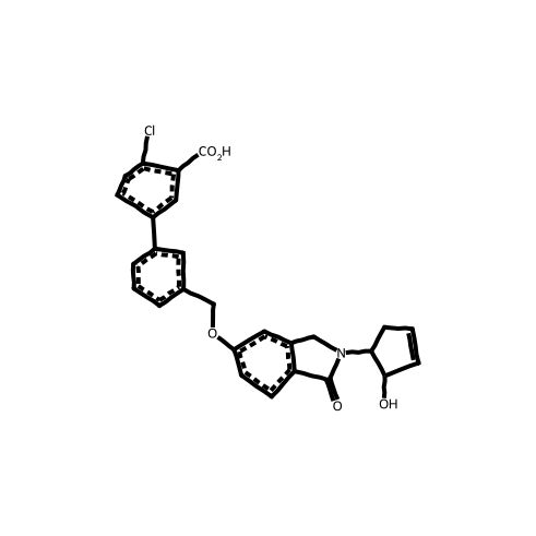 O=C(O)c1cc(-c2cccc(COc3ccc4c(c3)CN(C3CC=CC3O)C4=O)c2)ccc1Cl